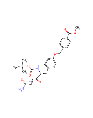 COC(=O)c1ccc(COc2ccc(CC(NC(=O)OC(C)(C)C)C(=O)/C=C/C(N)=O)cc2)cc1